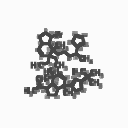 CCC1(CC)C=CC2CC[CH]([Zr])C2C1(C)CCCC(C)C1=CC=CC1.[CH3][Zr]([CH3])[CH]1CCC2C1C(C)(C)C=CC2(C)C1=CC(C(C)(C)C)=CC1